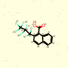 O=C(O)c1c(C(F)(F)C(F)(F)C(F)(F)F)ccc2ccccc12